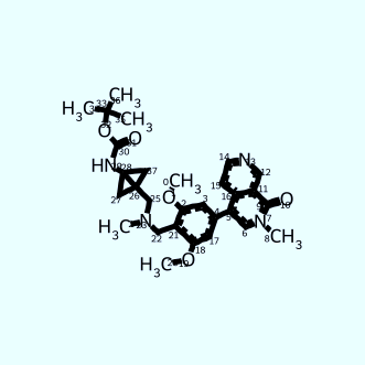 COc1cc(-c2cn(C)c(=O)c3cnccc23)cc(OC)c1CN(C)CC12CC1(NC(=O)OC(C)(C)C)C2